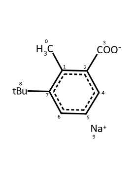 Cc1c(C(=O)[O-])cccc1C(C)(C)C.[Na+]